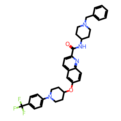 O=C(NC1CCN(Cc2ccccc2)CC1)c1ccc2cc(OC3CCN(c4ccc(C(F)(F)F)cc4)CC3)ccc2n1